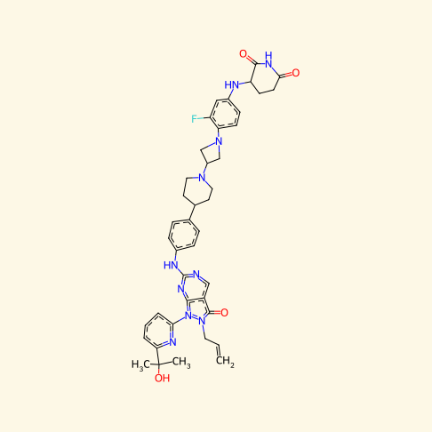 C=CCn1c(=O)c2cnc(Nc3ccc(C4CCN(C5CN(c6ccc(NC7CCC(=O)NC7=O)cc6F)C5)CC4)cc3)nc2n1-c1cccc(C(C)(C)O)n1